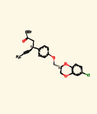 CC#C[C@@H](CC(=O)OC)c1ccc(OC[C@H]2COc3cc(Cl)ccc3O2)cc1